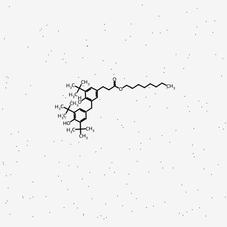 CCCCCCCCOC(=O)CCc1cc(Cc2cc(C(C)(C)C)c(O)c(C(C)(C)C)c2)c(O)c(C(C)(C)C)c1